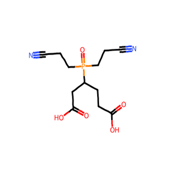 N#CCCP(=O)(CCC#N)C(CCC(=O)O)CC(=O)O